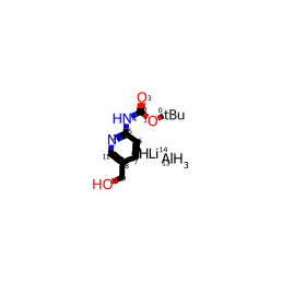 CC(C)(C)OC(=O)Nc1ccc(CO)cn1.[AlH3].[LiH]